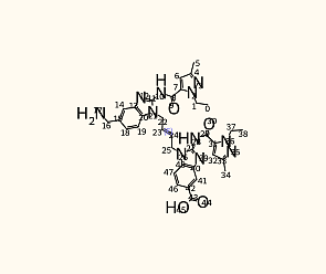 CCn1nc(C)cc1C(=O)Nc1nc2cc(CN)ccc2n1C/C=C/Cn1c(NC(=O)c2cc(C)nn2CC)nc2cc(C(=O)O)ccc21